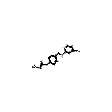 O/N=C(\Cl)Cc1ccc(COc2cc(F)ccn2)cc1